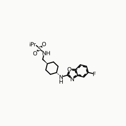 CC(C)S(=O)(=O)NC[C@H]1CC[C@H](Nc2nc3cc(F)ccc3o2)CC1